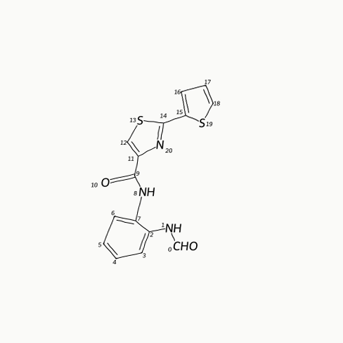 O=CNc1ccccc1NC(=O)c1csc(-c2cccs2)n1